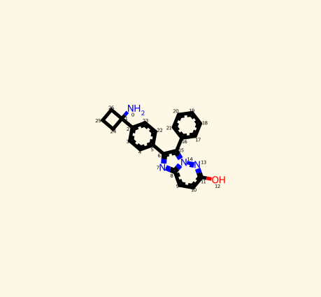 NC1(c2ccc(-c3nc4ccc(O)nn4c3-c3ccccc3)cc2)CCC1